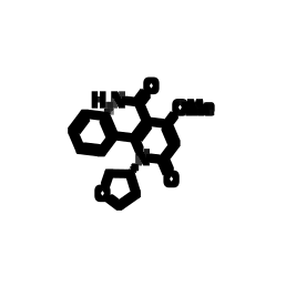 COc1cc(=O)n([C@@H]2CCOC2)c(-c2ccccc2)c1C(N)=O